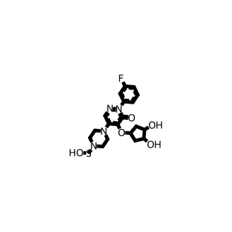 O=c1c(OC2CC(O)C(O)C2)c(N2CCN(SO)CC2)cnn1-c1cccc(F)c1